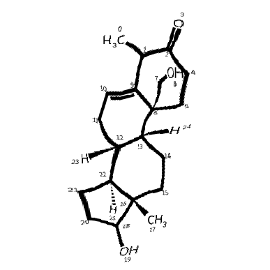 CC1C(=O)CC[C@@]2(CO)C1=CC[C@@H]1[C@H]2CC[C@]2(C)C(O)CC[C@@H]12